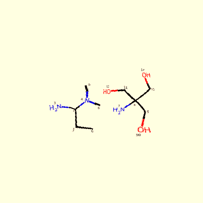 CCC(N)N(C)C.NC(CO)(CO)CO